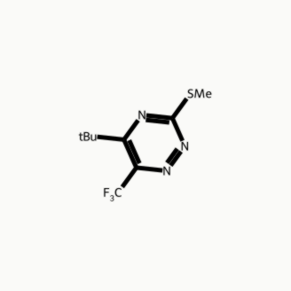 CSc1nnc(C(F)(F)F)c(C(C)(C)C)n1